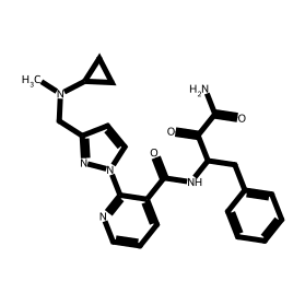 CN(Cc1ccn(-c2ncccc2C(=O)NC(Cc2ccccc2)C(=O)C(N)=O)n1)C1CC1